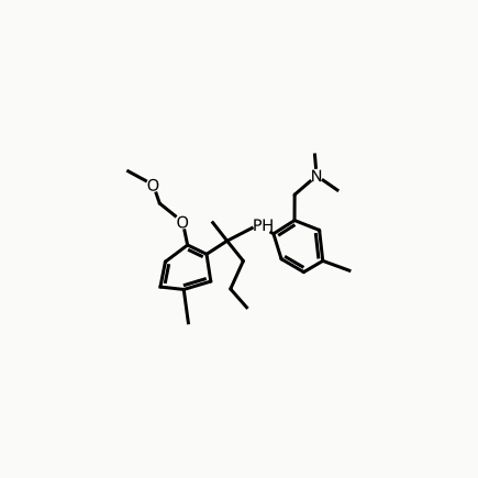 CCCC(C)(Pc1ccc(C)cc1CN(C)C)c1cc(C)ccc1OCOC